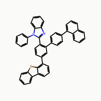 c1ccc(-n2c(-c3ccc(-c4cccc5c4sc4ccccc45)cc3-c3ccc(-c4cccc5ccccc45)cc3)nc3ccccc32)cc1